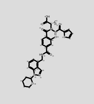 C[C@@H](C(=O)O)N(NC(=O)c1cccs1)C(=O)c1ccc(C(=O)NCc2cccc3c2cnn3C2CCCCO2)cc1Cl